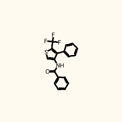 O=C(Nc1csc(C(F)(F)F)c1-c1ccccc1)c1ccccc1